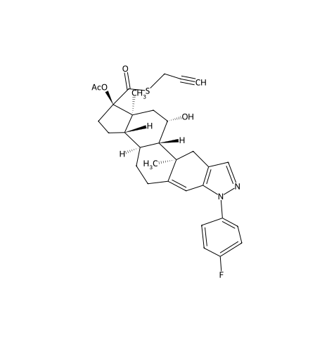 C#CCSC(=O)[C@@]1(OC(C)=O)CC[C@H]2[C@@H]3CCC4=Cc5c(cnn5-c5ccc(F)cc5)C[C@]4(C)[C@H]3[C@@H](O)C[C@@]21C